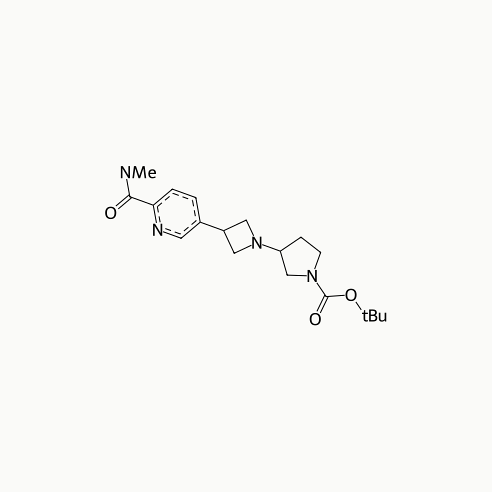 CNC(=O)c1ccc(C2CN(C3CCN(C(=O)OC(C)(C)C)C3)C2)cn1